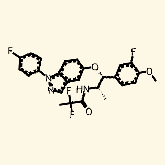 COc1ccc([C@@H](Oc2ccc3c(cnn3-c3ccc(F)cc3)c2)[C@H](C)NC(=O)C(C)(F)F)cc1F